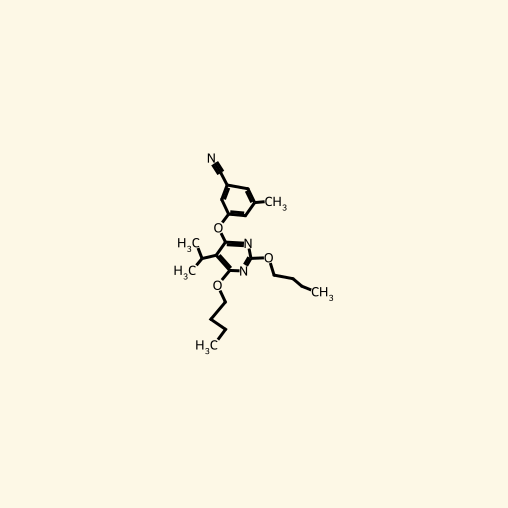 CCCCOc1nc(OCCCC)c(C(C)C)c(Oc2cc(C)cc(C#N)c2)n1